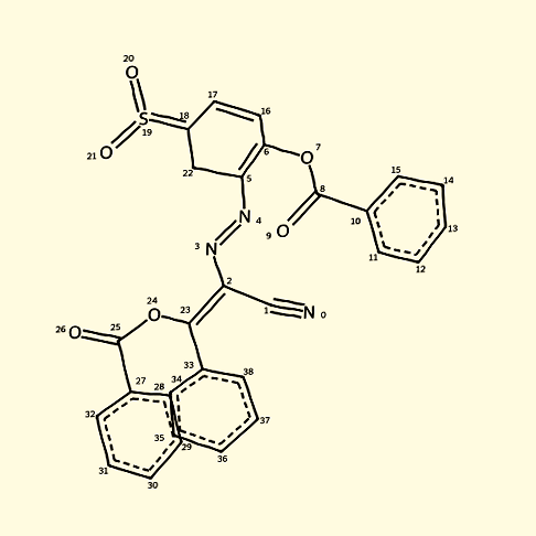 N#CC(N=NC1=C(OC(=O)c2ccccc2)C=CC(=S(=O)=O)C1)=C(OC(=O)c1ccccc1)c1ccccc1